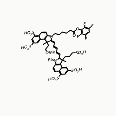 CC[N+]1=C(/C=C/C=C/C=C2/N(CCCCCC(=O)Oc3c(F)c(F)cc(F)c3F)c3ccc4c(S(=O)(=O)O)cc(S(=O)(=O)O)cc4c3C2(C)CCOC)C(C)(CCCS(=O)(=O)O)c2c1ccc1c(S(=O)(=O)O)cc(S(=O)(=O)O)cc21